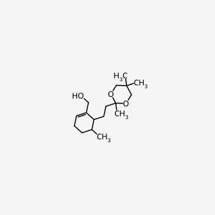 CC1CCC=C(CO)C1CCC1(C)OCC(C)(C)CO1